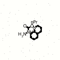 CCCOC(=O)NN.c1ccc2ncccc2c1